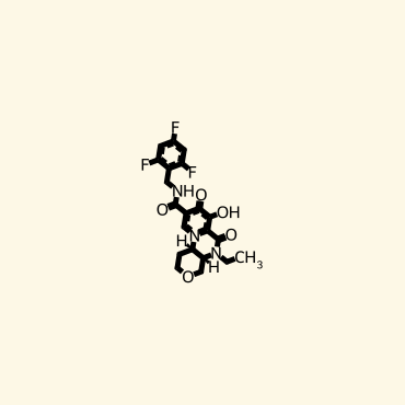 CCN1C(=O)c2c(O)c(=O)c(C(=O)NCc3c(F)cc(F)cc3F)cn2[C@H]2CCOC[C@H]21